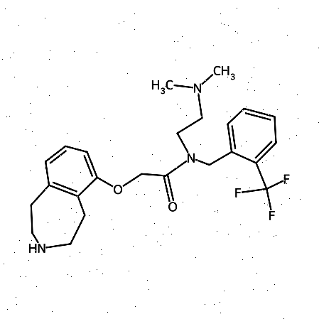 CN(C)CCN(Cc1ccccc1C(F)(F)F)C(=O)COc1cccc2c1CCNCC2